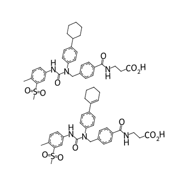 Cc1ccc(NC(=O)N(Cc2ccc(C(=O)NCCC(=O)O)cc2)c2ccc(C3=CCCCC3)cc2)cc1S(C)(=O)=O.Cc1ccc(NC(=O)N(Cc2ccc(C(=O)NCCC(=O)O)cc2)c2ccc(C3CCCCC3)cc2)cc1S(C)(=O)=O